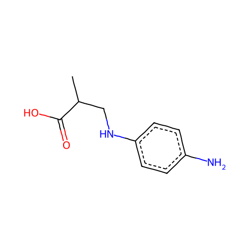 CC(CNc1ccc(N)cc1)C(=O)O